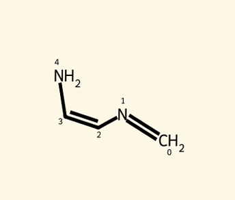 C=N/C=C\N